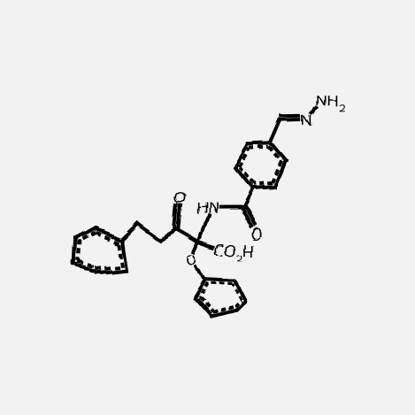 NN=Cc1ccc(C(=O)NC(Oc2ccccc2)(C(=O)O)C(=O)CCc2ccccc2)cc1